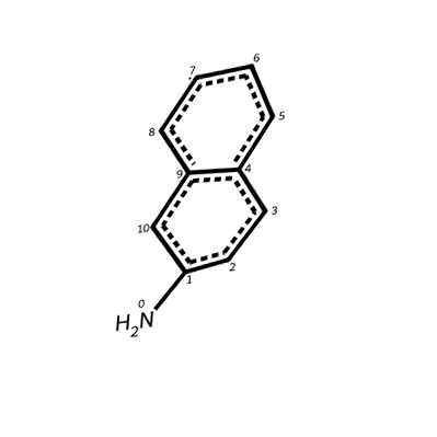 Nc1ccc2cc[c]cc2c1